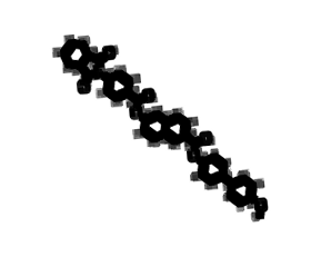 COc1ccc(-c2ccc(OC(=O)c3ccc4cc(OC(=O)c5ccc(N6C(=O)C7CC=CCC7C6=O)cc5)ccc4c3)cc2)cc1